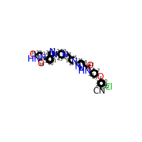 N#Cc1ccc(O[C@H]2CC[C@H](NC(=O)c3ccc(N4CCC(CN5CCC(n6ncc7c(N8CCC(=O)NC8=O)cccc76)CC5)C4)nn3)CC2)cc1Cl